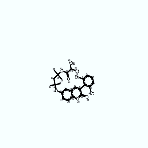 CCc1cccc(CC)c1-c1cc2cc(OC(C)(C)CC(C)(C)OC(=O)C(CC)C(C)(C)C)ccc2oc1=O